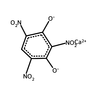 O=[N+]([O-])c1cc([N+](=O)[O-])c([O-])c([N+](=O)[O-])c1[O-].[Ca+2]